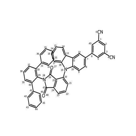 N#Cc1cc(C#N)cc(-c2ccc3c(c2)c2ccccc2n3-c2cccc3c2C(=O)N(c2c(-c4ccccc4)cccc2-c2ccccc2)C3=O)c1